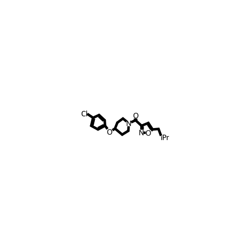 CC(C)Cc1cc(C(=O)N2CCC(Oc3ccc(Cl)cc3)CC2)no1